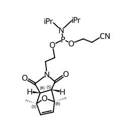 CC(C)N(C(C)C)P(OCCC#N)OCCN1C(=O)[C@@H]2[C@H](C1=O)[C@@]1(C)C=C[C@]2(C)O1